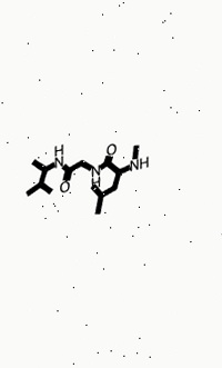 CNC(CC(C)C)C(=O)NCC(=O)NC(C)C(C)C